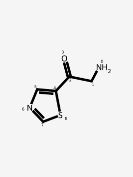 NCC(=O)c1cncs1